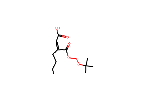 CCCCC(=CC(=O)O)C(=O)OOOC(C)(C)C